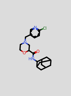 O=C(NC1C2CC3CC(C2)CC1C3)C1CN(Cc2ccc(Cl)nc2)CCO1